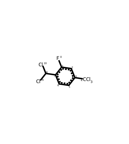 Fc1cc(C(Cl)(Cl)Cl)ccc1C(Cl)Cl